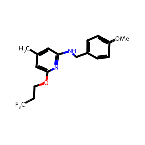 COc1ccc(CNc2cc(C)cc(OCCC(F)(F)F)n2)cc1